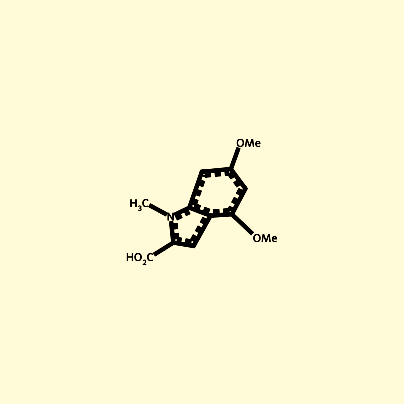 COc1cc(OC)c2cc(C(=O)O)n(C)c2c1